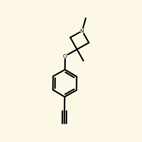 C#Cc1ccc(OC2(C)CN(C)C2)cc1